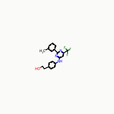 Cc1cccc(-c2nc(Nc3ccc(CCO)cc3)cc(C(F)(F)F)n2)c1